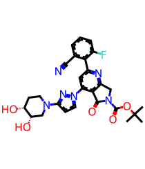 CC(C)(C)OC(=O)N1Cc2nc(-c3c(F)cccc3C#N)cc(-n3ccc(N4CC[C@@H](O)[C@@H](O)C4)n3)c2C1=O